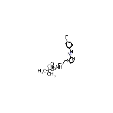 CC(C)(C)OC(=O)NCCCn1ccnc1/N=N/c1ccc(F)cc1